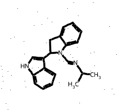 CC(C)N=CN1c2ccccc2CC1c1c[nH]c2ccccc12